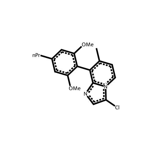 CCCc1cc(OC)c(-c2c(C)ccn3c(Cl)cnc23)c(OC)c1